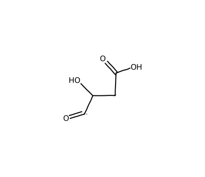 O=[C]C(O)CC(=O)O